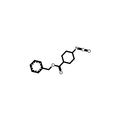 O=C=NC1CCC(C(=O)OCc2ccccc2)CC1